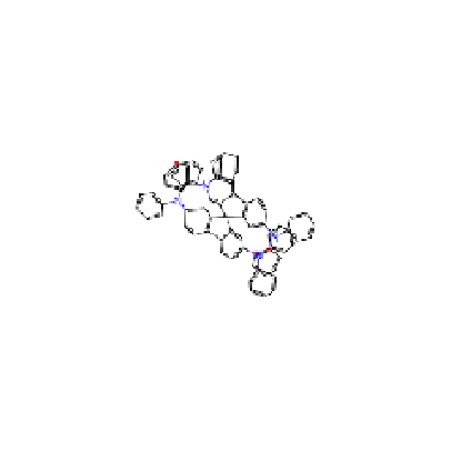 C=C/C=C1\C(=C/N(c2ccccc2)c2ccccc2)C2(c3cc(N(c4ccccc4)c4ccccc4)ccc31)c1cc(N(c3ccccc3)c3ccccc3)ccc1-c1ccc(N(c3ccccc3)c3ccccc3)cc12